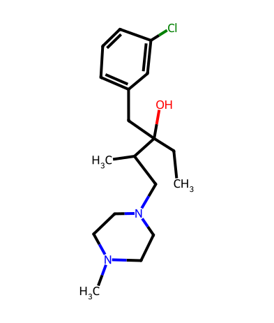 CCC(O)(Cc1cccc(Cl)c1)C(C)CN1CCN(C)CC1